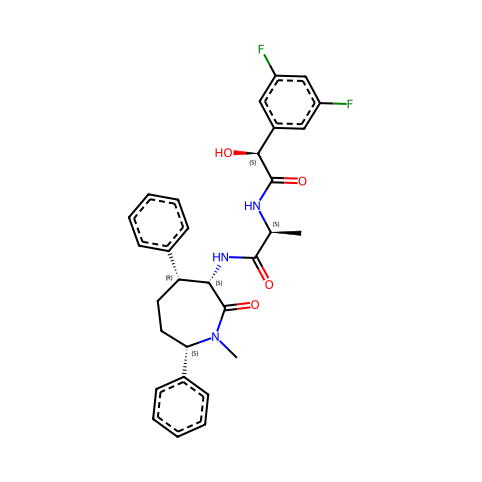 C[C@H](NC(=O)[C@@H](O)c1cc(F)cc(F)c1)C(=O)N[C@@H]1C(=O)N(C)[C@H](c2ccccc2)CC[C@@H]1c1ccccc1